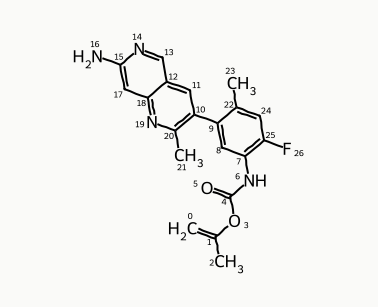 C=C(C)OC(=O)Nc1cc(-c2cc3cnc(N)cc3nc2C)c(C)cc1F